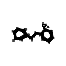 FC(F)(F)c1ccccc1C=Nc1ccccc1